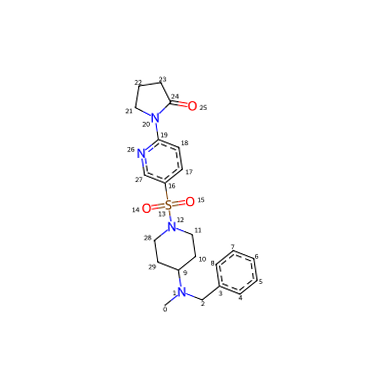 CN(Cc1ccccc1)C1CCN(S(=O)(=O)c2ccc(N3CCCC3=O)nc2)CC1